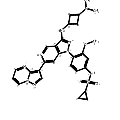 COc1cc(NS(=O)(=O)C2CC2)ccc1-n1nc(NC2CC(N(C)C)C2)c2cnc(-c3cnn4cccnc34)cc21